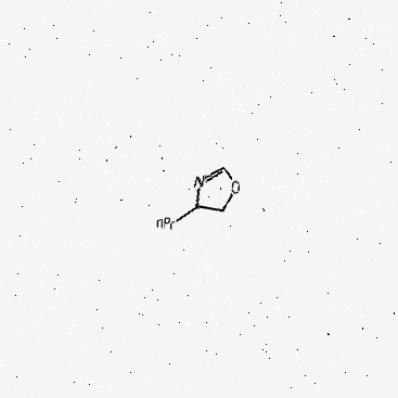 CCCC1COC=N1